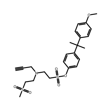 C#CCN(CCS(C)(=O)=O)CCS(=O)(=O)Oc1ccc(C(C)(C)c2ccc(OC)cc2)cc1